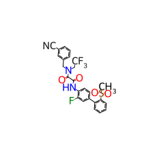 CS(=O)(=O)c1ccccc1-c1ccc(NC(=O)C(=O)N(Cc2cccc(C#N)c2)CC(F)(F)F)c(F)c1